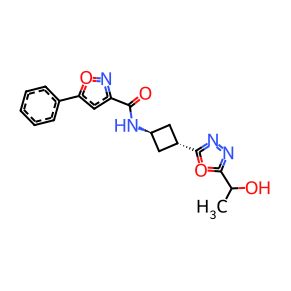 CC(O)c1nnc([C@H]2C[C@H](NC(=O)c3cc(-c4ccccc4)on3)C2)o1